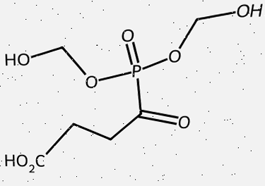 O=C(O)CCC(=O)P(=O)(OCO)OCO